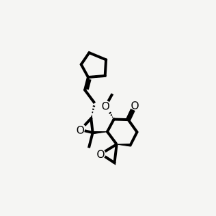 CO[C@@H]1C(=O)CC[C@]2(CO2)[C@H]1C1(C)O[C@@H]1CC=C1CCCC1